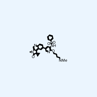 CNCCCCOc1ncc(-c2ccc3ncc4c(c3c2)C2(CC2)C(=O)N4C)cc1NS(=O)(=O)c1ccccc1